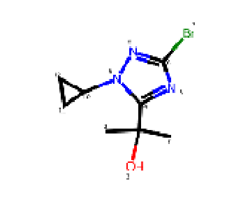 CC(C)(O)c1nc(Br)nn1C1CC1